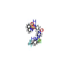 O=C(C1=CCC(NS(=O)(=O)c2cccc3cccnc23)C=C1)N1CCN(C(=S)NC2CC(C(F)(F)F)=CC=C2Cl)CC1